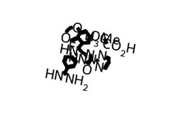 CC(=O)O.COC1=CC(C(Nc2ccc(C(=N)N)cc2)c2nn(-c3ncccn3)c(=O)[nH]2)C2=C(F)OCCOC2=C1